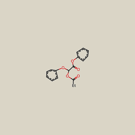 CCC(=O)OC(Oc1ccccc1)C(=O)Oc1ccccc1